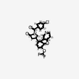 O=C1CC(c2ccc(OC(F)F)c3oc4ccncc4c23)CN1C(=O)c1ccc(Cl)cc1